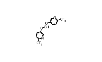 FC(F)(F)c1ccc(OBOc2ccc(C(F)(F)F)nc2)cn1